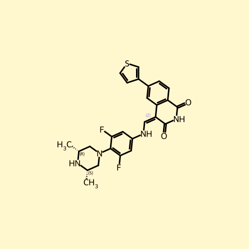 C[C@@H]1CN(c2c(F)cc(N/C=C3\C(=O)NC(=O)c4ccc(-c5ccsc5)cc43)cc2F)C[C@H](C)N1